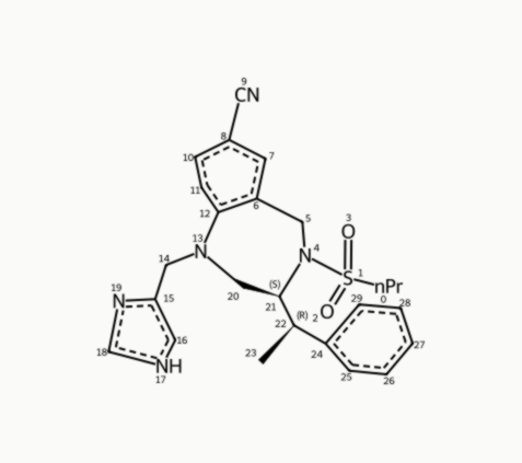 CCCS(=O)(=O)N1Cc2cc(C#N)ccc2N(Cc2c[nH]cn2)C[C@@H]1[C@H](C)c1ccccc1